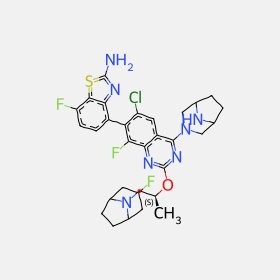 C[C@@H](CN1C2CCC1CC(F)C2)Oc1nc(N2CC3CCC(C2)N3)c2cc(Cl)c(-c3ccc(F)c4sc(N)nc34)c(F)c2n1